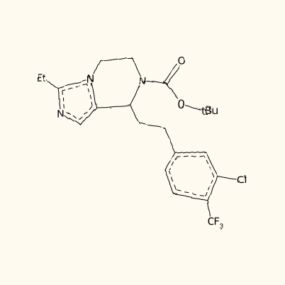 CCc1ncc2n1CCN(C(=O)OC(C)(C)C)C2CCc1ccc(C(F)(F)F)c(Cl)c1